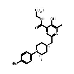 Cc1nc(C[C@@H]2CCN(c3ccc(C(C)(C)C)cc3)[C@@H](C)C2)nc(C(=O)NCC(=O)O)c1O